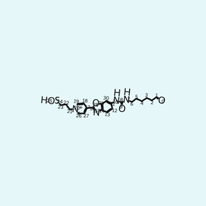 O=CCCCCCNC(=O)Nc1ccc2nc(-c3cc[n+](CCCSO)cc3)oc2c1